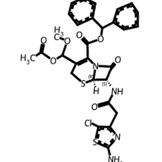 COC(OC(C)=O)C1=C(C(=O)OC(c2ccccc2)c2ccccc2)N2C(=O)[C@H](NC(=O)Cc3nc(N)sc3Cl)[C@H]2SC1